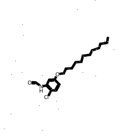 CCCCCCCCCCCCOc1ccc(Cl)c(NC=O)c1